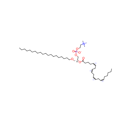 CCCCC/C=C\C/C=C\C/C=C\C/C=C\CCCC(=O)O[C@H](COCCCCCCCCCCCCCCCCCCCC)COP(=O)([O-])OCC[N+](C)(C)C